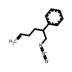 C=CCCC(CN=[N+]=[N-])c1ccccc1